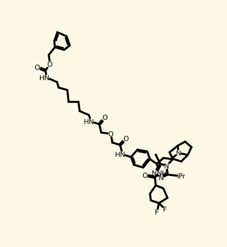 Cc1nnc(C(C)C)n1C1CC2CCC(C1)N2CCC(NC(=O)C1CCC(F)(F)CC1)c1ccc(NC(=O)COCC(=O)NCCCCCCCNC(=O)OCc2ccccc2)cc1